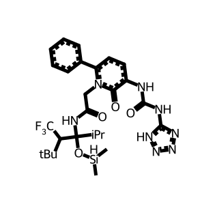 CC(C)C(NC(=O)Cn1c(-c2ccccc2)ccc(NC(=O)Nc2nnn[nH]2)c1=O)(O[SiH](C)C)C(C(C)(C)C)C(F)(F)F